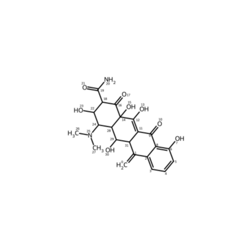 C=C1c2cccc(O)c2C(=O)C2=C(O)C3(O)C(=O)C(C(N)=O)C(O)C(N(C)C)C3C(O)C12